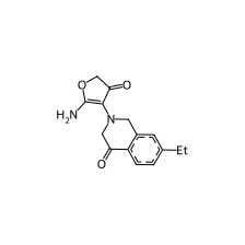 CCc1ccc2c(c1)CN(C1=C(N)OCC1=O)CC2=O